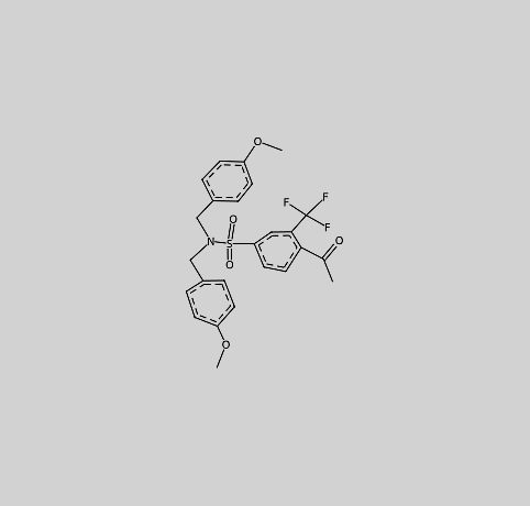 COc1ccc(CN(Cc2ccc(OC)cc2)S(=O)(=O)c2ccc(C(C)=O)c(C(F)(F)F)c2)cc1